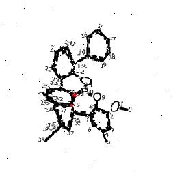 COc1cc(C)cc2c1op(Oc1c(-c3ccccc3)cccc1-c1ccccc1)oc1c(C)cc(C)cc12